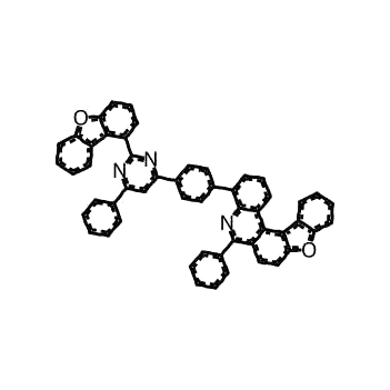 c1ccc(-c2cc(-c3ccc(-c4cccc5c4nc(-c4ccccc4)c4ccc6oc7ccccc7c6c45)cc3)nc(-c3cccc4oc5ccccc5c34)n2)cc1